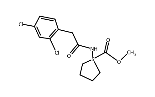 COC(=O)S1(NC(=O)Cc2ccc(Cl)cc2Cl)CCCC1